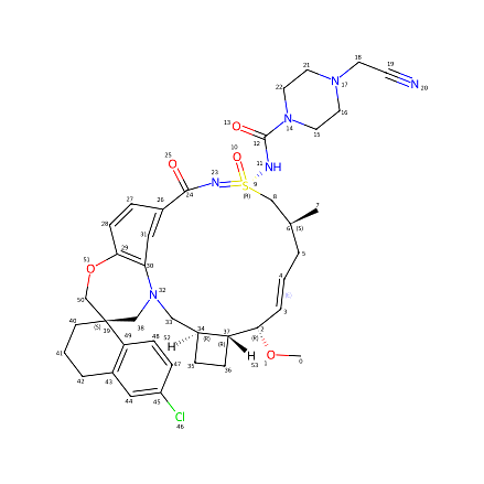 CO[C@H]1/C=C/C[C@H](C)C[S@@](=O)(NC(=O)N2CCN(CC#N)CC2)=NC(=O)c2ccc3c(c2)N(C[C@@H]2CC[C@H]21)C[C@@]1(CCCc2cc(Cl)ccc21)CO3